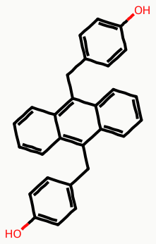 Oc1ccc(Cc2c3ccccc3c(Cc3ccc(O)cc3)c3ccccc23)cc1